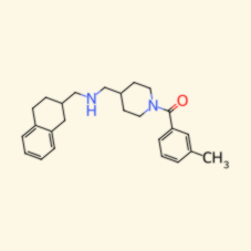 Cc1cccc(C(=O)N2CCC(CNCC3CCc4ccccc4C3)CC2)c1